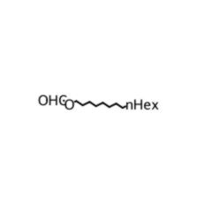 CCCCCCCCCCCCCCO[C]=O